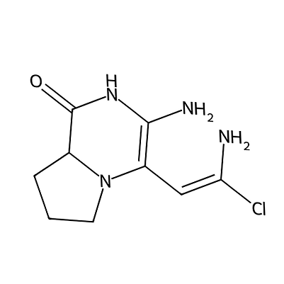 NC1=C(/C=C(\N)Cl)N2CCCC2C(=O)N1